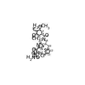 COc1cc(C(=O)N(CCCc2ccc(Cl)s2)Cc2nc(C(=O)NS(N)(=O)=O)cs2)cc(OC)c1C